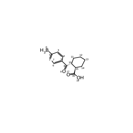 BC(=C)/C=C\C(=C/C)C(=O)[C@@H]1CCCC[C@H]1C(=O)O